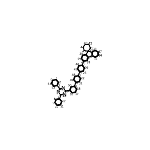 c1ccc(-c2nc(-c3ccccc3)nc(-c3cccc(-c4ccc(-c5ccc(-c6ccc7c(c6)-c6ccccc6C76CCCCC6)cc5)cc4)c3)n2)cc1